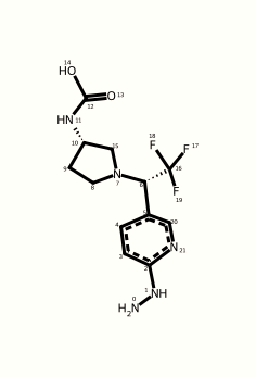 NNc1ccc([C@H](N2CC[C@H](NC(=O)O)C2)C(F)(F)F)cn1